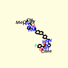 C=C(N[C@H](C(=O)N1CCC[C@H]1c1ncc(-c2ccc3cc(-c4ccc(-c5cnc([C@@H]6CCCN6C(=O)[C@H](NC(=O)OC)c6ccc(F)cc6)[nH]5)cc4)ccc3c2)[nH]1)C(C)C)OC